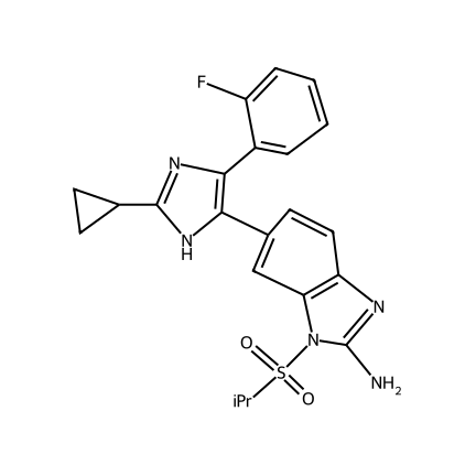 CC(C)S(=O)(=O)n1c(N)nc2ccc(-c3[nH]c(C4CC4)nc3-c3ccccc3F)cc21